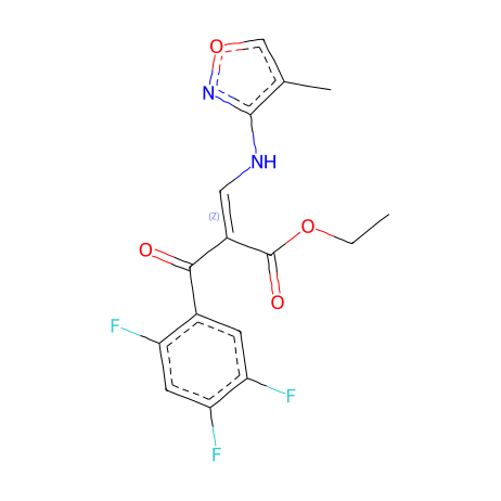 CCOC(=O)/C(=C\Nc1nocc1C)C(=O)c1cc(F)c(F)cc1F